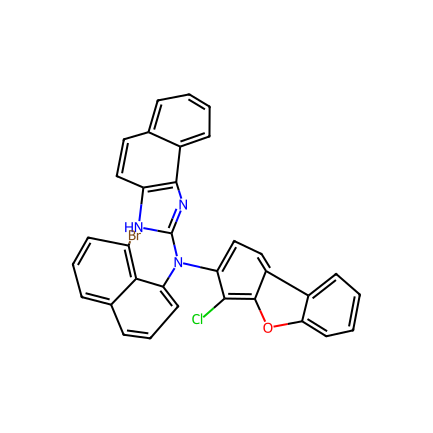 Clc1c(N(c2nc3c(ccc4ccccc43)[nH]2)c2cccc3cccc(Br)c23)ccc2c1oc1ccccc12